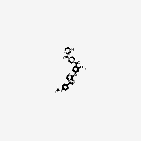 Cc1cc(Nc2nccn3c(-c4ccc(OC(F)F)cc4)cnc23)ccc1C(=O)N1CCN(C(=O)[C@H]2CNCCO2)CC1